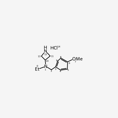 CCN(Cc1ccc(OC)cc1)C1CNC1.Cl